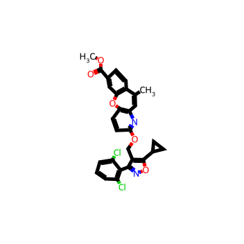 COC(=O)c1ccc2c(c1)Oc1ccc(OCc3c(-c4c(Cl)cccc4Cl)noc3C3CC3)nc1C=C2C